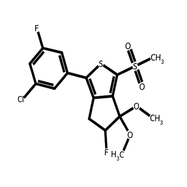 COC1(OC)c2c(S(C)(=O)=O)sc(-c3cc(F)cc(Cl)c3)c2CC1F